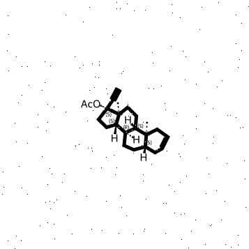 C#C[C@]1(OC(C)=O)CC[C@H]2[C@@H]3CC[C@H]4CC=CC[C@]4(C)[C@H]3CC[C@@]21C